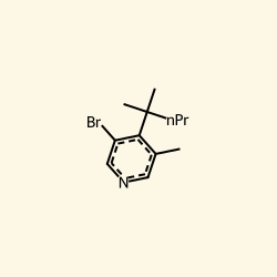 CCCC(C)(C)c1c(C)cncc1Br